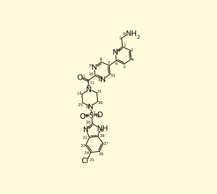 NCc1cccc(-c2cnc(C(=O)N3CCN(S(=O)(=O)c4nc5cc(Cl)ccc5[nH]4)CC3)nc2)n1